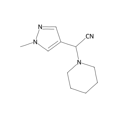 Cn1cc(C(C#N)N2CCCCC2)cn1